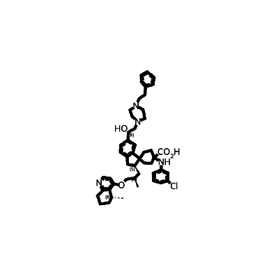 C[C@@H](COc1ccnc2c1[C@H](C)CCC2)C[C@H]1Cc2ccc([C@@H](O)CN3CCN(CCc4ccccc4)CC3)cc2C12CCC(Nc1cccc(Cl)c1)(C(=O)O)CC2